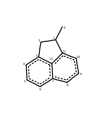 CC1Cc2cccc3c[c]cc1c23